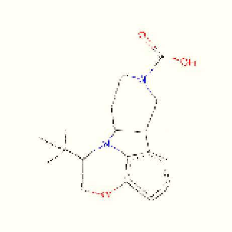 CC(C)(C)C1COc2cccc3c2N1C1CCN(C(=O)O)CC31C